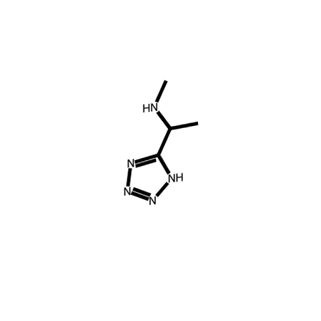 CNC(C)c1nnn[nH]1